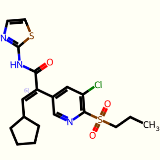 CCCS(=O)(=O)c1ncc(/C(=C\C2CCCC2)C(=O)Nc2nccs2)cc1Cl